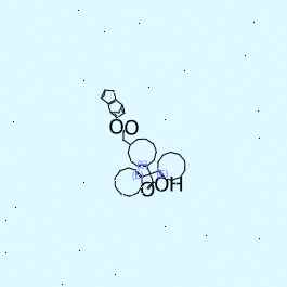 O=C(CC1CC/C=C(/C(C(=O)O)(/C2=C/CCCCCCCC2)/C2=C/CCCCCCCC2)CCCCC1)OC1=C2CC(=C1)C1=C2C=CC1